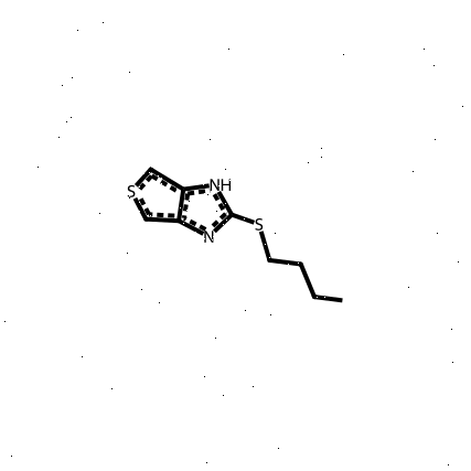 CCCCSc1nc2cscc2[nH]1